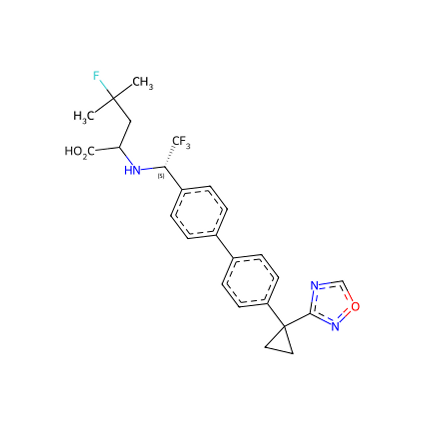 CC(C)(F)CC(N[C@@H](c1ccc(-c2ccc(C3(c4ncon4)CC3)cc2)cc1)C(F)(F)F)C(=O)O